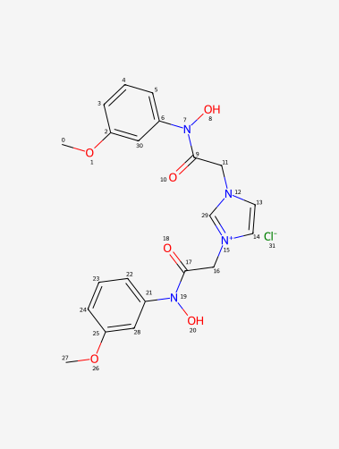 COc1cccc(N(O)C(=O)Cn2cc[n+](CC(=O)N(O)c3cccc(OC)c3)c2)c1.[Cl-]